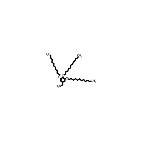 CCCCCCCCCCCCOc1cc(CN)cc(OCCCCCCCCCCCC)c1OCCCCCCCCCCCC